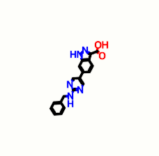 O=C(O)c1n[nH]c2cc(-c3cnc(NCc4ccccc4)nc3)ccc12